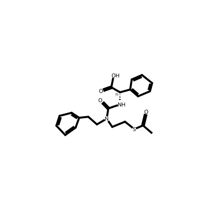 CC(=O)SCCN(CCc1ccccc1)C(=O)N[C@H](C(=O)O)c1ccccc1